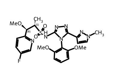 COc1cccc(OC)c1-n1c(NS(=O)(=O)[C@@H](C)[C@H](OC)c2ccc(F)cn2)nnc1-c1ccn(C)n1